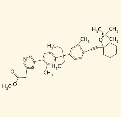 CCC(CC)(c1ccc(C#CC2(O[Si](C)(C)C)CCCCC2)c(C)c1)c1ccc(-c2cncc(CC(=O)OC)c2)c(C)c1